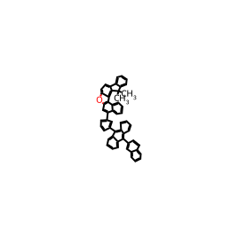 CC1(C)c2ccccc2-c2ccc3oc4cc(-c5cccc(-c6c7ccccc7c(-c7ccc8ccccc8c7)c7ccccc67)c5)c5ccccc5c4c3c21